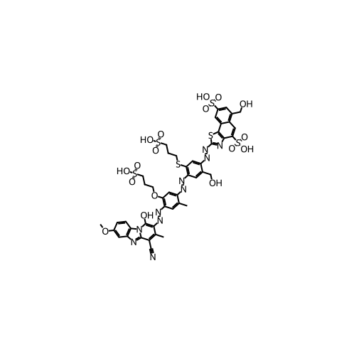 COc1ccc2c(c1)nc1c(C#N)c(C)c(N=Nc3cc(C)c(N=Nc4cc(CO)c(N=Nc5nc6c(S(=O)(=O)O)cc7c(CO)cc(S(=O)(=O)O)cc7c6s5)cc4SCCCS(=O)(=O)O)cc3OCCCS(=O)(=O)O)c(O)n12